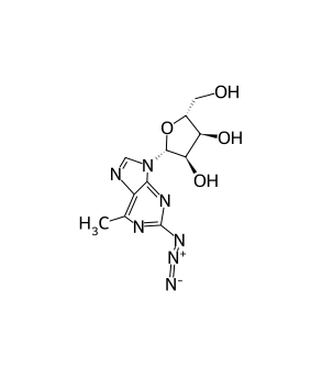 Cc1nc(N=[N+]=[N-])nc2c1ncn2[C@@H]1O[C@H](CO)[C@@H](O)[C@H]1O